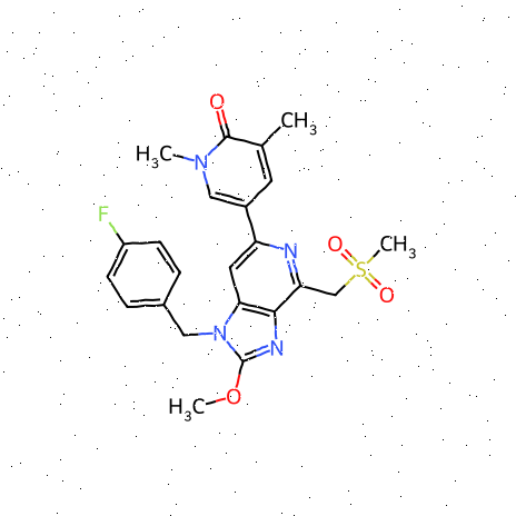 COc1nc2c(CS(C)(=O)=O)nc(-c3cc(C)c(=O)n(C)c3)cc2n1Cc1ccc(F)cc1